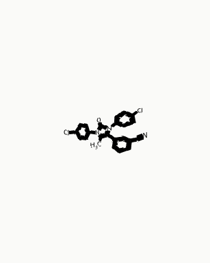 Cc1c(-c2cccc(C#N)c2)n(-c2ccc(Cl)cc2)c(=O)n1-c1ccc(Cl)cc1